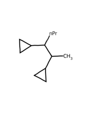 CCCC([C](C)C1CC1)C1CC1